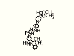 CC(C)/C(Nc1ccccc1)=C1\CN(c2nc(Nc3ccc(N4CCCN(C(=O)OC(C)(C)C)CC4)cn3)ncc2F)CCC1=N